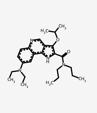 CCCN(CCC)C(=O)c1[nH]c2c(cnc3ccc(N(CC)CC)cc32)c1OC(C)C